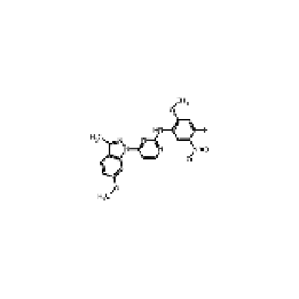 COc1ccc2c(C)nn(-c3ccnc(Nc4cc([N+](=O)[O-])c(F)cc4OC)n3)c2c1